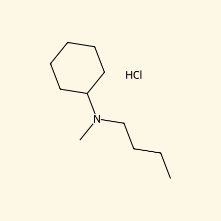 CCCCN(C)C1CCCCC1.Cl